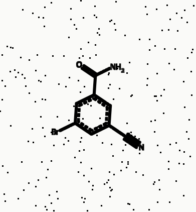 N#Cc1cc(Br)cc(C(N)=O)c1